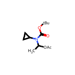 CC(=O)OC(C)N(C(=O)OC(C)(C)C)C1CC1